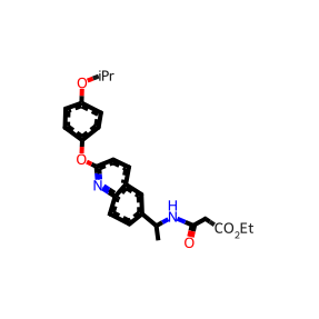 CCOC(=O)CC(=O)NC(C)c1ccc2nc(Oc3ccc(OC(C)C)cc3)ccc2c1